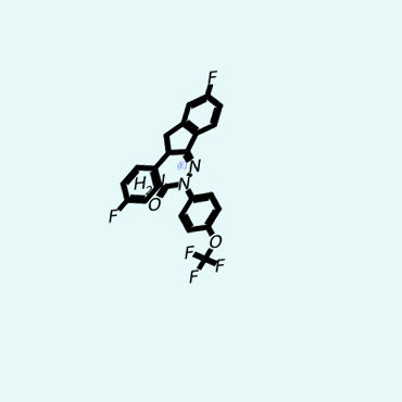 NC(=O)N(/N=C1/c2ccc(F)cc2CC1c1ccc(F)cc1)c1ccc(OC(F)(F)F)cc1